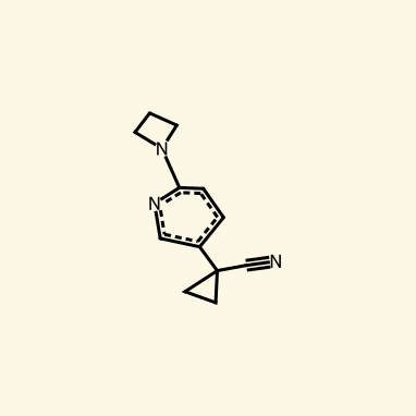 N#CC1(c2ccc(N3CCC3)nc2)CC1